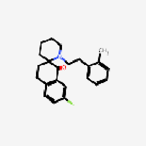 Cc1ccccc1CCN1CCCCC12CCc1ccc(F)cc1C2=O